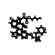 CCCCOC(=O)Nc1sc2c(F)cnc(-c3c4c(c5cnc(OCC6(CN7CCOCC7)CCC6)nc5c3F)COC4)c2c1C#N